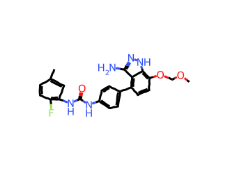 COCOc1ccc(-c2ccc(NC(=O)Nc3cc(C)ccc3F)cc2)c2c(N)n[nH]c12